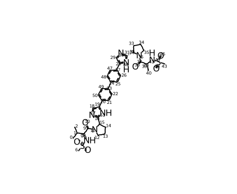 CC(C)[C@H](NS(C)(=O)=O)C(=O)N1CCCC1c1ncc(-c2ccc(-c3ccc(-c4cnc([C@@H]5CCCN5C(=O)[C@H](C)NS(C)(=O)=O)[nH]4)cc3)cc2)[nH]1